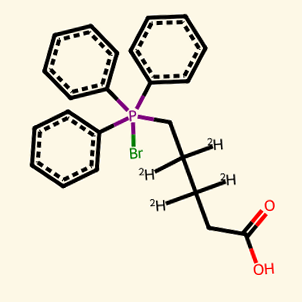 [2H]C([2H])(CC(=O)O)C([2H])([2H])CP(Br)(c1ccccc1)(c1ccccc1)c1ccccc1